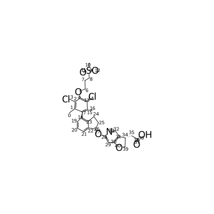 Cc1c(Cl)c(OCCCS(C)(=O)=O)c(Cl)c(C)c1-c1cccc2c1CCC2Oc1cc2c(cn1)[C@H](CC(=O)O)CO2